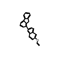 C=COc1ccc2cc(-c3cccc4c3Cc3ccccc3-4)ccc2c1